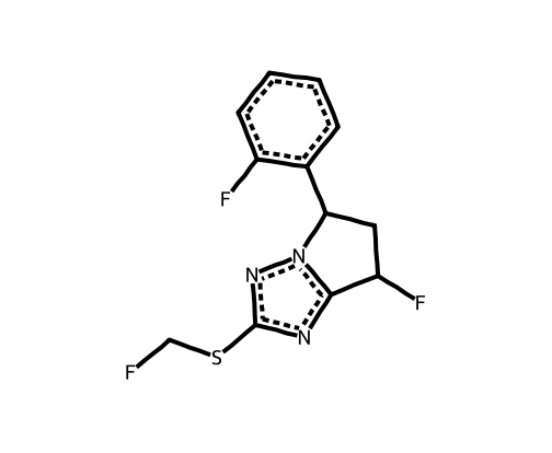 FCSc1nc2n(n1)C(c1ccccc1F)CC2F